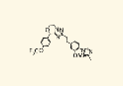 COc1cc(C=Cc2nc3n(n2)CCOC3c2ccc(OC(F)(F)F)cc2)ccc1-n1cnc(C)c1